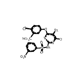 CCc1c(Cl)nc(NS(=O)(=O)c2cccc([N+](=O)[O-])c2)nc1Oc1ccc(Cl)c(C(=O)O)c1